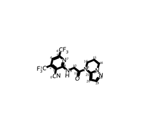 N#Cc1c(C(F)(F)F)cc(C(F)(F)F)nc1NCC(=O)N1CCCn2nccc21